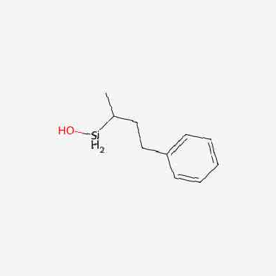 CC(CCc1ccccc1)[SiH2]O